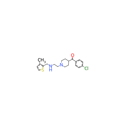 Cc1ccsc1CNCCN1CCC(C(=O)c2ccc(Cl)cc2)CC1